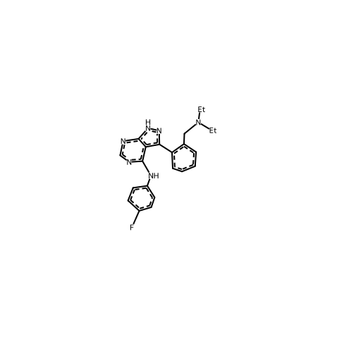 CCN(CC)Cc1ccccc1-c1n[nH]c2ncnc(Nc3ccc(F)cc3)c12